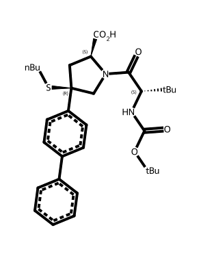 CCCCS[C@@]1(c2ccc(-c3ccccc3)cc2)C[C@@H](C(=O)O)N(C(=O)[C@@H](NC(=O)OC(C)(C)C)C(C)(C)C)C1